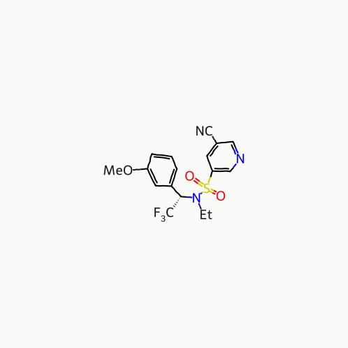 CCN([C@@H](c1cccc(OC)c1)C(F)(F)F)S(=O)(=O)c1cncc(C#N)c1